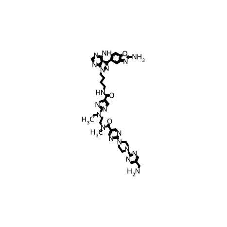 CCN(CCN(C)C(=O)c1cnc(N2CCN(c3ncc(CN)cn3)CC2)nc1)c1ncc(C(=O)NCCCCn2nc(-c3ccc4oc(N)nc4c3)c3c(N)ncnc32)cn1